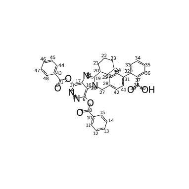 O=C(Oc1nnc(OC(=O)c2ccccc2)c2c1nc(C1CCCCC1)n2Cc1ccc(-c2ccccc2C(=O)O)cc1)c1ccccc1